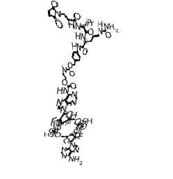 CC(C)[C@H](NC(=O)CCN1C(=O)C=CC1=O)C(=O)N[C@@H](CCCNC(N)=O)C(=O)Nc1ccc(COC(=O)N(C)CCOC(=O)Nc2ncnc3c2ncn3[C@@H]2O[C@@H]3CO[P@@](=O)(S)O[C@@H]4C(CO[P@@](=O)(S)O[C@H]3[C@H]2F)O[C@@H](n2cnc3c(N)ncnc32)[C@@H]4F)cc1